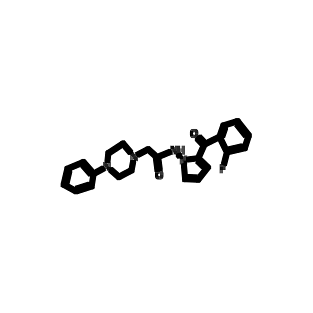 O=C(CN1CCN(c2ccccc2)CC1)Nn1cccc1C(=O)c1ccccc1F